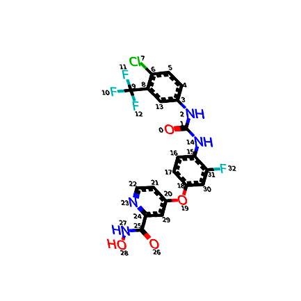 O=C(Nc1ccc(Cl)c(C(F)(F)F)c1)Nc1ccc(Oc2ccnc(C(=O)NO)c2)cc1F